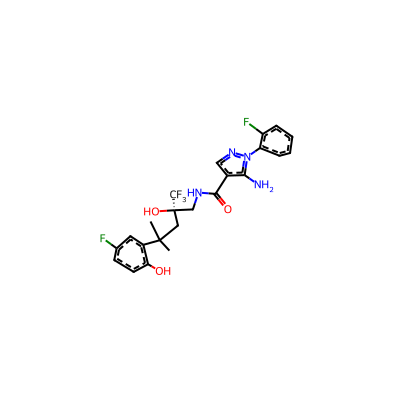 CC(C)(C[C@@](O)(CNC(=O)c1cnn(-c2ccccc2F)c1N)C(F)(F)F)c1cc(F)ccc1O